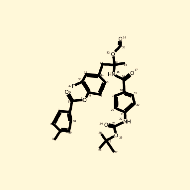 Cc1ccc(C(=O)Oc2ccc(CC(C)(NC(=O)c3ccc(NC(=O)OC(C)(C)C)cc3)OC=O)cc2F)cc1